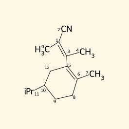 CC(C#N)=C(C)C1=C(C)CCC(C(C)C)C1